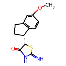 COc1ccc2c(c1)CC[C@H]2C1SC(=N)NC1=O